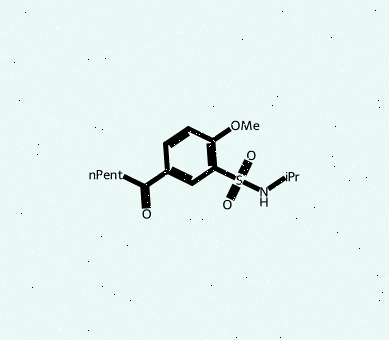 CCCCCC(=O)c1ccc(OC)c(S(=O)(=O)NC(C)C)c1